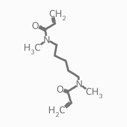 C=CC(=O)N(C)CCCCCN(C)C(=O)C=C